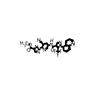 COC(=O)c1cnn(-c2ncc(NC(=O)c3cnn(-c4cccc5ncccc45)c3C(F)(F)F)cc2C#N)n1